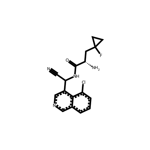 N#CC(NC(=O)[C@@H](N)CC1(F)CC1)c1cncc2cccc(Cl)c12